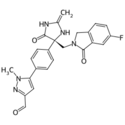 C=C1NC(=O)[C@@](CN2Cc3ccc(F)cc3C2=O)(c2ccc(-c3cc(C=O)nn3C)cc2)N1